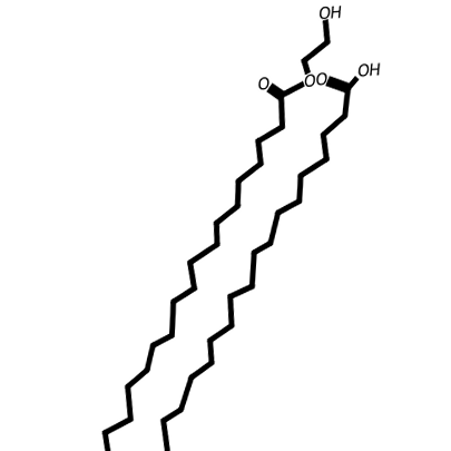 CCCCCCCCCCCCCCCCCC(=O)O.CCCCCCCCCCCCCCCCCC(=O)OCCO